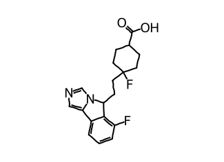 O=C(O)C1CCC(F)(CCC2c3c(F)cccc3-c3cncn32)CC1